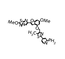 COc1cc(OCc2nc(-c3ccnc(P)c3)sc2C)c2cc(-c3cn4nc(OC)sc4n3)oc2c1